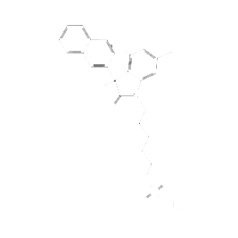 CS(=O)(=O)OCCCCCN1C(=O)C(O)(c2ccc3ccccc3c2)c2c(Br)cc(I)cc21